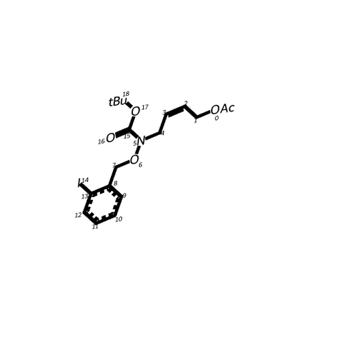 CC(=O)OC/C=C\CN(OCc1ccccc1I)C(=O)OC(C)(C)C